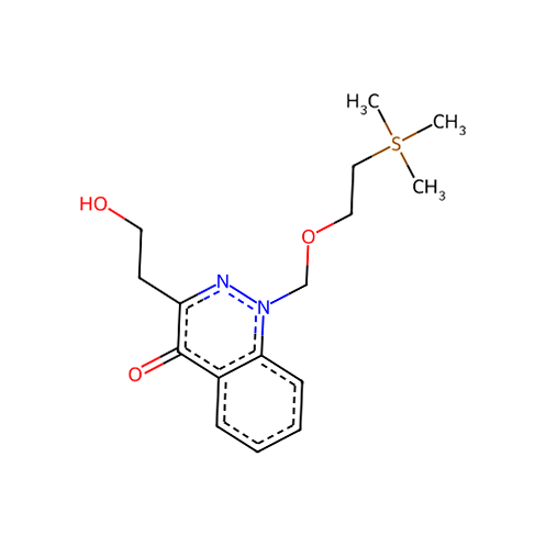 CS(C)(C)CCOCn1nc(CCO)c(=O)c2ccccc21